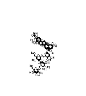 CC1(C)CC[C@]2(C(=O)O[C@@H]3O[C@H](CO[C@@H]4O[C@H](CO)[C@@H](O)[C@H](O)[C@H]4O[C@@H]4O[C@H](CO[C@@H]5O[C@H](CO)[C@@H](O)[C@H](O)[C@H]5O)[C@@H](O)[C@H](O)[C@H]4O)[C@@H](O)[C@H](O)[C@H]3O)CC[C@]3(C)C(=CC[C@@H]4[C@@]5(C)CC[C@H](OS(=O)(=O)O)C(C)(C)[C@@H]5CC[C@]43C)[C@@H]2C1